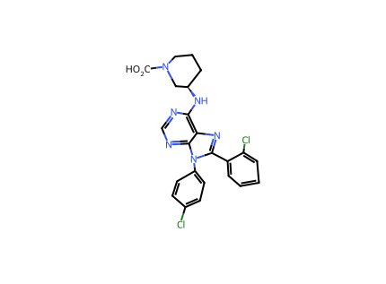 O=C(O)N1CCC[C@@H](Nc2ncnc3c2nc(-c2ccccc2Cl)n3-c2ccc(Cl)cc2)C1